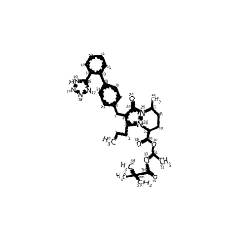 CCCc1c(Cc2ccc(-c3ccccc3-c3nnn[nH]3)cc2)c(=O)n2n1C(C(=O)OC(C)OC(=O)C(C)(C)C)CCC2C